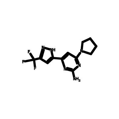 Nc1nc(-c2cc(C(F)(F)F)n[nH]2)cc(N2C[CH]CC2)n1